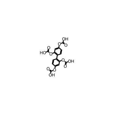 O=C(O)Oc1ccc(-c2ccc(OC(=O)O)cc2OC(=O)O)c(OC(=O)O)c1